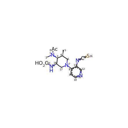 CC(=O)N(C)[C@H]1[C@@H](C)CN(c2ccncc2N=C=S)C[C@H]1NC(=O)O